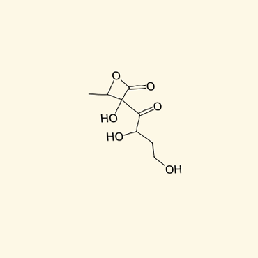 CC1OC(=O)C1(O)C(=O)C(O)CCO